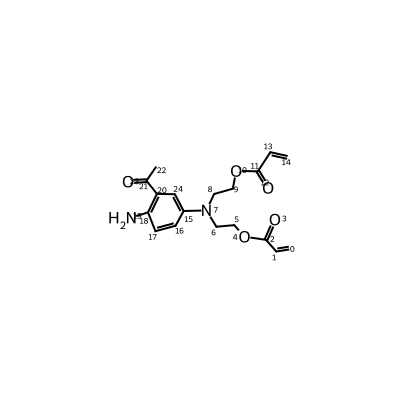 C=CC(=O)OCCN(CCOC(=O)C=C)c1ccc(N)c(C(C)=O)c1